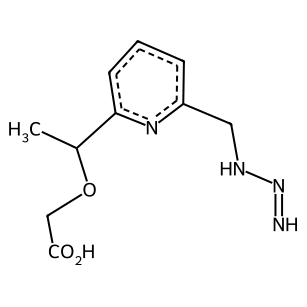 CC(OCC(=O)O)c1cccc(CNN=N)n1